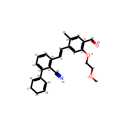 COCCOc1cc(/C=C/c2cccc(C3=CCCC=C3)c2C#N)c(C)cc1C=O